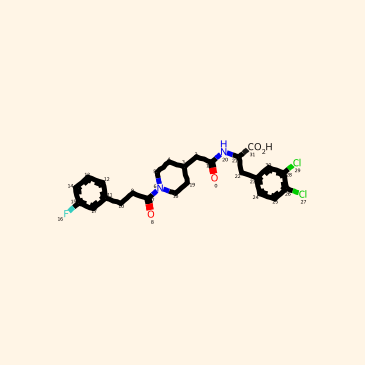 O=C(CC1CCN(C(=O)CCc2cccc(F)c2)CC1)NC(Cc1ccc(Cl)c(Cl)c1)C(=O)O